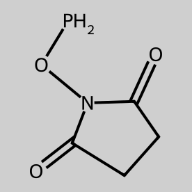 O=C1CCC(=O)N1OP